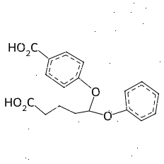 O=C(O)CCCC(Oc1ccccc1)Oc1ccc(C(=O)O)cc1